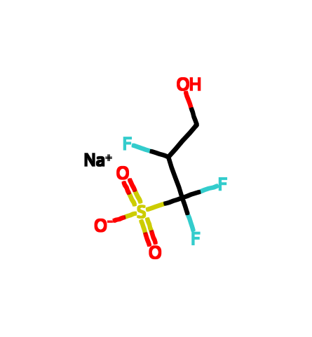 O=S(=O)([O-])C(F)(F)C(F)CO.[Na+]